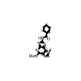 CNc1nc2nc(NC(=O)c3ccccc3)sc2c2c1ncn2C